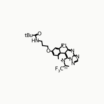 Cc1cc(OCCCNC(=O)C(C)(C)C)cc(F)c1-c1c(Cl)nc2ncnn2c1N(C)[C@@H](C)C(F)(F)F